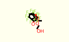 CC(OCCO)OC1(F)C2(F)C(=O)C3(F)C(F)(F)C(F)(C2(F)F)C(F)(F)C1(F)C3(F)F